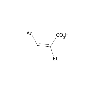 CCC(=CC(C)=O)C(=O)O